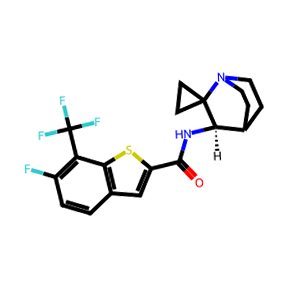 O=C(N[C@@H]1C2CCN(CC2)C12CC2)c1cc2ccc(F)c(C(F)(F)F)c2s1